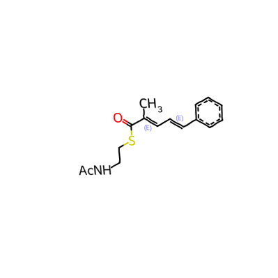 CC(=O)NCCSC(=O)/C(C)=C/C=C/c1ccccc1